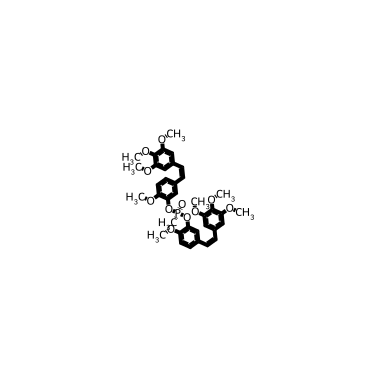 COc1ccc(/C=C\c2cc(OC)c(OC)c(OC)c2)cc1OP(C)(=O)Oc1cc(/C=C\c2cc(OC)c(OC)c(OC)c2)ccc1OC